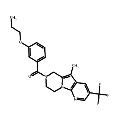 CCCOc1cccc(C(=O)N2CCn3c(c(C)c4cc(C(F)(F)F)cnc43)C2)c1